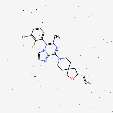 C=C[C@H]1CC2(CCN(c3nc(C)c(-c4cccc(Cl)c4Cl)n4ccnc34)CC2)CO1